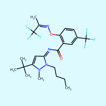 CCCCn1c(=NC(=O)c2cc(C(F)(F)F)ccc2ON=C(C)C(F)(F)F)cc(C(C)(C)C)n1C